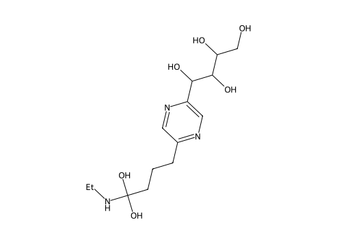 CCNC(O)(O)CCCc1cnc(C(O)C(O)C(O)CO)cn1